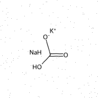 O=C([O-])O.[K+].[NaH]